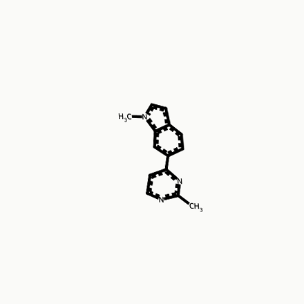 Cc1nccc(-c2ccc3ccn(C)c3c2)n1